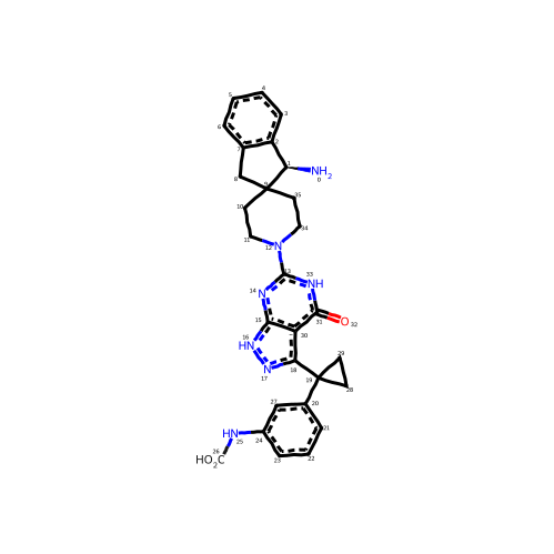 N[C@@H]1c2ccccc2CC12CCN(c1nc3[nH]nc(C4(c5cccc(NC(=O)O)c5)CC4)c3c(=O)[nH]1)CC2